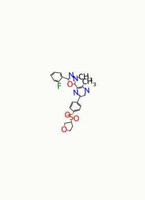 Cc1ncc(-c2ccc(S(=O)(=O)C3CCOC3)cc2)nc1C1OC(c2ccccc2F)=NN1C